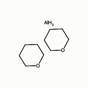 C1CCOCC1.C1CCOCC1.[AlH3]